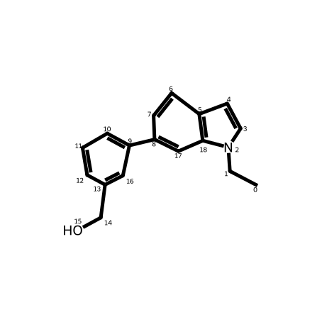 CCn1ccc2ccc(-c3cccc(CO)c3)cc21